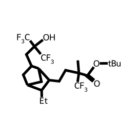 CCC1C2CC(CC(O)(C(F)(F)F)C(F)(F)F)C(C2)C1CCC(C)(C(=O)OC(C)(C)C)C(F)(F)F